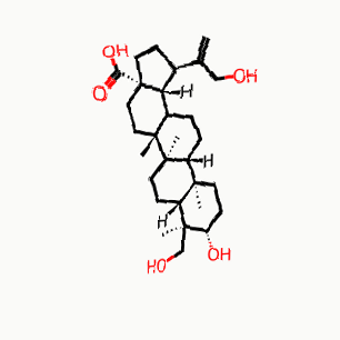 C=C(CO)[C@@H]1CC[C@]2(C(=O)O)CC[C@]3(C)C(CC[C@@H]4[C@@]5(C)CC[C@H](O)[C@@](C)(CO)[C@@H]5CC[C@]43C)[C@@H]12